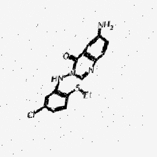 CCSc1ccc(Cl)cc1Nn1cnc2ccc(N)cc2c1=O